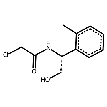 Cc1ccccc1[C@H](CO)NC(=O)CCl